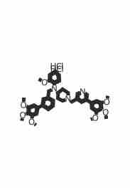 COc1ccccc1N(Cc1cccc(-c2cc(OC)c(OC)c(OC)c2)c1)C1CCN(Cc2cncc(-c3cc(OC)c(OC)c(OC)c3)c2)CC1.Cl.Cl